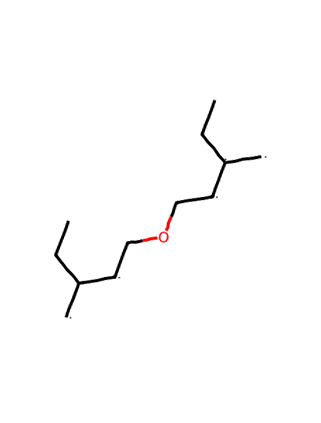 [CH2][C]([CH]COC[CH][C]([CH2])CC)CC